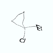 CCC1(Cl)CC1